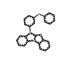 c1ccc(Sc2cccc(-n3c4ccccc4n4c5ccccc5nc34)c2)cc1